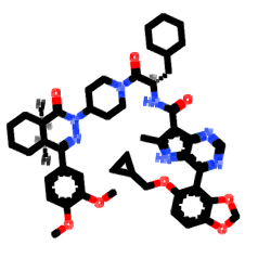 COc1ccc(C2=NN(C3CCN(C(=O)[C@H](CC4CCCCC4)NC(=O)c4c(C)[nH]c5c(-c6c(OCC7CC7)ccc7c6OCO7)ncnc45)CC3)C(=O)[C@@H]3CCCC[C@H]23)cc1OC